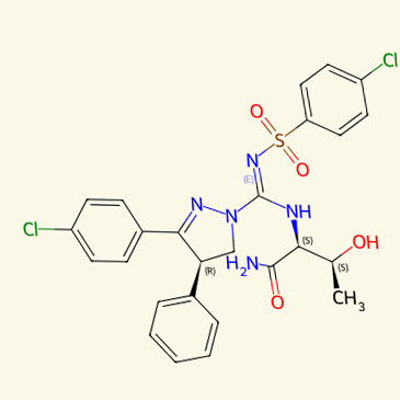 C[C@H](O)[C@H](N/C(=N\S(=O)(=O)c1ccc(Cl)cc1)N1C[C@@H](c2ccccc2)C(c2ccc(Cl)cc2)=N1)C(N)=O